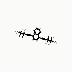 FC(F)(F)C(F)(F)C(F)(F)C#Cc1ccc(C#CC(F)(F)C(F)(F)C(F)(F)F)c2ccccc12